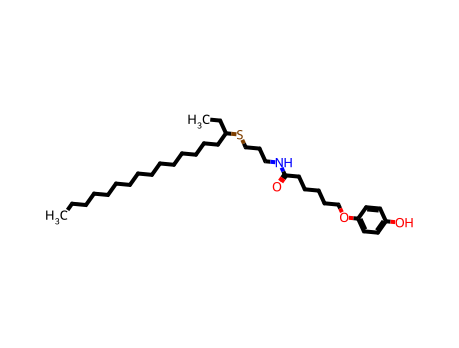 CCCCCCCCCCCCCCCC(CC)SCCCNC(=O)CCCCCOc1ccc(O)cc1